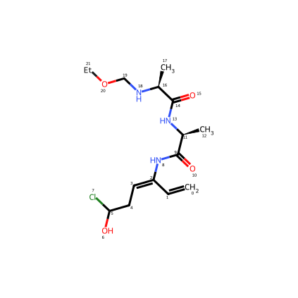 C=C/C(=C\CC(O)Cl)NC(=O)[C@H](C)NC(=O)[C@H](C)NCOCC